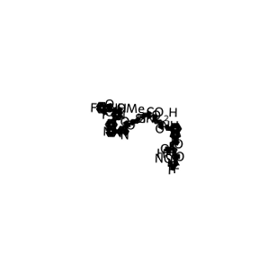 COc1ncc(-c2ccc3nccc(-c4cncc(C(=O)OCCSSCC(NC(=O)CCC(=O)NCc5cccc6c5CN(C(=O)CC5CC(C(=O)N7CC(F)(F)C[C@H]7C#N)NC5=O)C6)C(=O)O)c4)c3c2)cc1NS(=O)(=O)c1ccc(F)cc1F